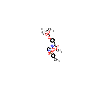 COC(=O)[C@H](Cc1ccc(OCC(=O)OC(C)(C)C)cc1)NC(=O)[C@@H]1CCCN1S(=O)(=O)c1ccc(C)cc1